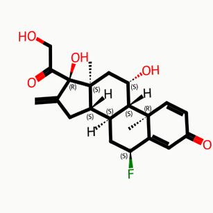 C=C1C[C@H]2[C@@H]3C[C@H](F)C4=CC(=O)C=C[C@]4(C)[C@H]3[C@@H](O)C[C@]2(C)[C@@]1(O)C(=O)CO